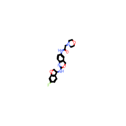 O=C(CN1CCOCC1)Nc1ccc2c(c1)COC(NC1COc3cc(F)ccc31)=N2